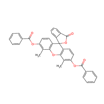 Cc1c(OC(=O)c2ccccc2)ccc2c1Oc1c(ccc(OC(=O)c3ccccc3)c1C)C21OC(=O)c2ccccc21